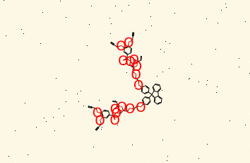 C#CCOc1ccc(C(=O)OCC(COCCOc2ccc(C3(c4ccc(OCCOCC(COC(=O)c5ccc(OCC#C)c(OCC#C)c5)OC(=O)C=C)cc4)c4ccccc4-c4ccccc43)cc2)OC(=O)C=C)cc1OCC#C